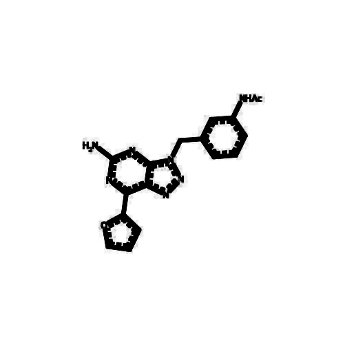 CC(=O)Nc1cccc(Cn2nnc3c(-c4ccco4)nc(N)nc32)c1